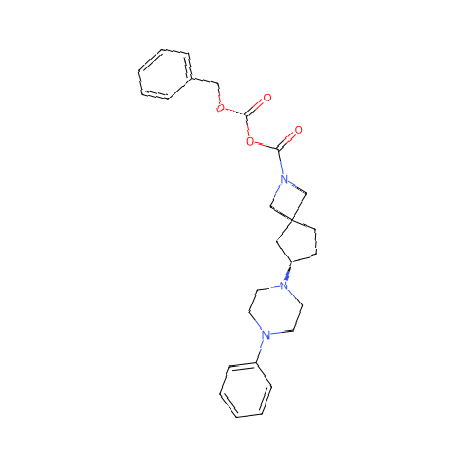 O=C(OCc1ccccc1)OC(=O)N1CC2(CC[C@@H](N3CCN(c4ccccc4)CC3)C2)C1